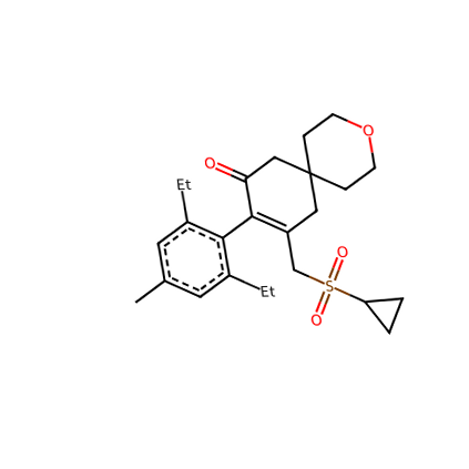 CCc1cc(C)cc(CC)c1C1=C(CS(=O)(=O)C2CC2)CC2(CCOCC2)CC1=O